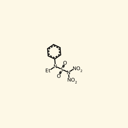 CCN(c1ccccc1)S(=O)(=O)N([N+](=O)[O-])[N+](=O)[O-]